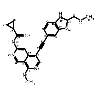 CNc1ncc(C#Cc2ccc3c(c2)SC(COC)N3)c2cc(NC(=O)C3CC3)ncc12